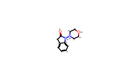 O=C1Cc2ccccc2N1N1CCOCC1